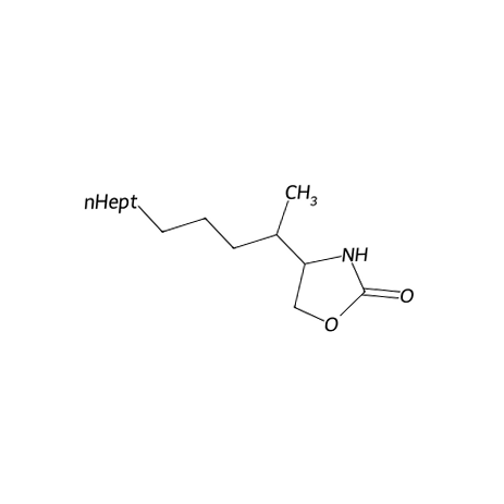 CCCCCCCCCCC(C)C1COC(=O)N1